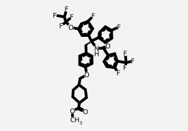 COC(=O)C1CCC(COc2ccc(C[C@](NC(=O)c3ccc(F)c(C(F)(F)F)c3)(c3ccc(F)cc3)c3cc(F)cc(OC(F)(F)C(F)F)c3)cc2)CC1